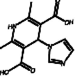 CC1=C(C(=O)O)C(n2ccnc2)C(C(=O)O)=C(C)N1